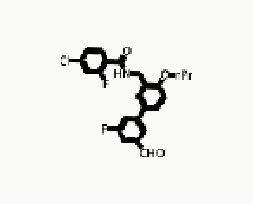 CCCOc1ccc(-c2cc(F)cc(C=O)c2)cc1CNC(=O)c1ccc(Cl)cc1F